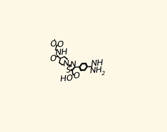 COC(=O)CNC(=O)C1CCN(c2nc(-c3ccc(C(=N)N)cc3)c(C(=O)O)s2)CC1